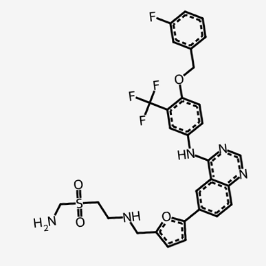 NCS(=O)(=O)CCNCc1ccc(-c2ccc3ncnc(Nc4ccc(OCc5cccc(F)c5)c(C(F)(F)F)c4)c3c2)o1